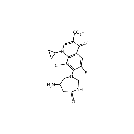 N[C@@H]1CC(=O)NCN(c2c(F)cc3c(=O)c(C(=O)O)cn(C4CC4)c3c2Cl)C1